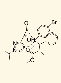 COC(=O)C(C)C(c1ccccc1)C1(c2ccc(Br)cc2)Oc2cn(C(C)C)nc2[C@@]2(O)C(=O)C12